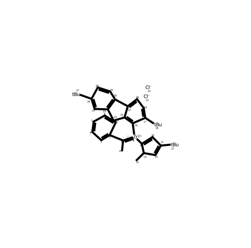 C/[C](c1ccccc1)=[Zr+2](\[C]1=CC(C(C)(C)C)=CC1C)[c]1c(C(C)(C)C)ccc2c1Cc1cc(C(C)(C)C)ccc1-2.[Cl-].[Cl-]